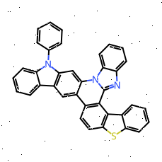 c1ccc(-n2c3ccccc3c3cc4c5ccc6sc7ccccc7c6c5c5nc6ccccc6n5c4cc32)cc1